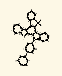 CC1(C)c2ccccc2-c2c1c1c3ccccc3n(-c3ccc(-c4ccccc4)cc3)c1c1oc3ccccc3c21